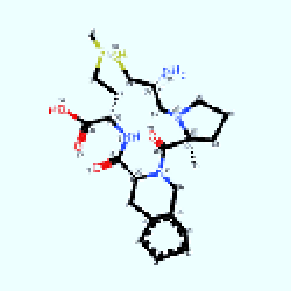 CSCC[C@H](NC(=O)[C@@H]1Cc2ccccc2CN1C(=O)[C@]1(C)CCCN1C[C@@H](N)CS)C(=O)O